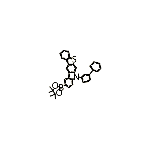 CC1(C)OB(c2ccc3c(c2)c2cc4c(cc2n3-c2cccc(-c3ccccc3)c2)sc2ccccc24)OC1(C)C